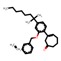 C=C.CCCCCCC(C)(C)c1ccc(C2=CCCCC(=O)C2)c(OCc2ccccc2)c1